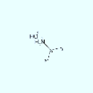 CC(C)N.Cl